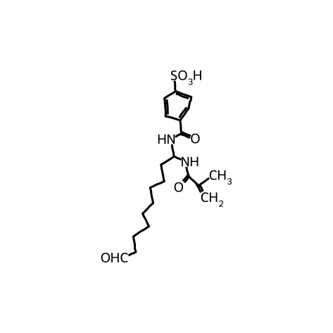 C=C(C)C(=O)NC(CCCCCCCCC=O)NC(=O)c1ccc(S(=O)(=O)O)cc1